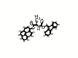 C[C@H](NC(=O)OCC1c2ccccc2-c2ccccc21)C(=O)Oc1ccc2ccc3cccc4ccc1c2c34